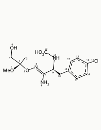 CO[C@](C)(CO)O/N=C(\N)[C@H](Cc1ccc(Cl)cc1)NC(=O)O